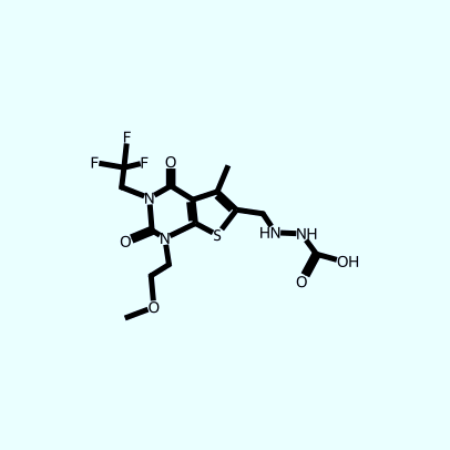 COCCn1c(=O)n(CC(F)(F)F)c(=O)c2c(C)c(CNNC(=O)O)sc21